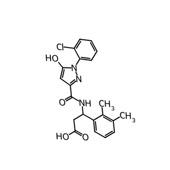 Cc1cccc(C(CC(=O)O)NC(=O)c2cc(O)n(-c3ccccc3Cl)n2)c1C